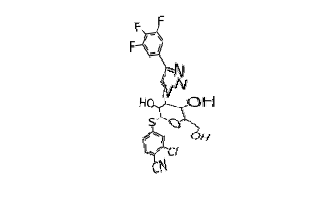 N#Cc1ccc(S[C@H]2OC(CO)[C@H](O)C(n3cc(-c4cc(F)c(F)c(F)c4)nn3)C2O)cc1Cl